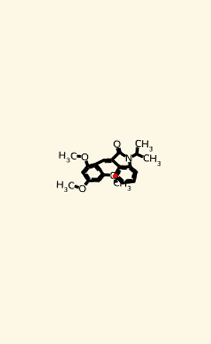 COc1cc(OC)c(C=C2C(=O)N(C(C)C)c3ccccc32)c(OC)c1